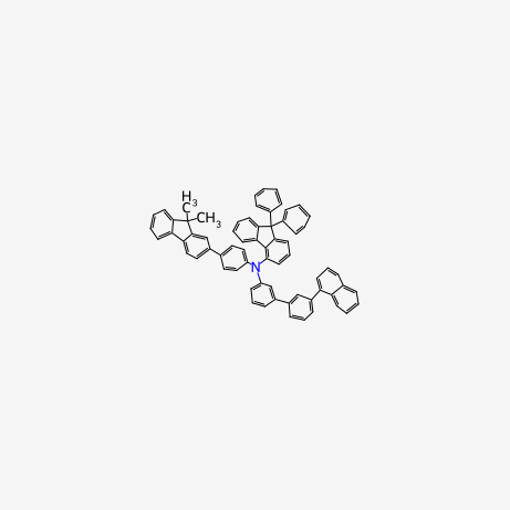 CC1(C)c2ccccc2-c2ccc(-c3ccc(N(c4cccc(-c5cccc(-c6cccc7ccccc67)c5)c4)c4cccc5c4-c4ccccc4C5(c4ccccc4)c4ccccc4)cc3)cc21